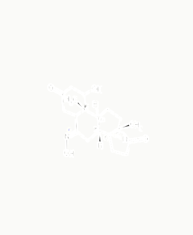 C[C@]12C(O)CC(=O)CC1/C(=N/O)C[C@@H]1[C@@H]2CC[C@]2(C)C(=O)CC[C@@H]12